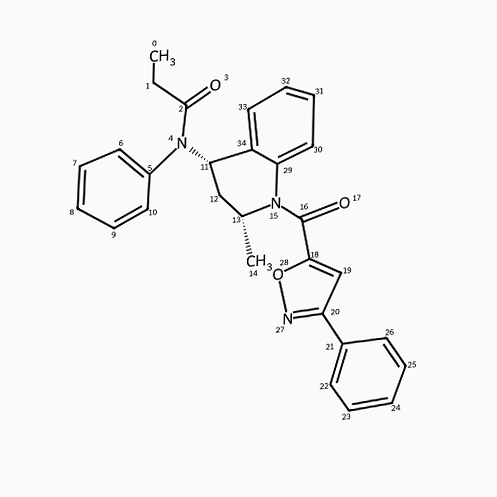 CCC(=O)N(c1ccccc1)[C@H]1C[C@@H](C)N(C(=O)c2cc(-c3ccccc3)no2)c2ccccc21